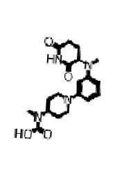 CN(C(=O)O)C1CCN(c2cccc(N(C)[C@@H]3CCC(=O)NC3=O)c2)CC1